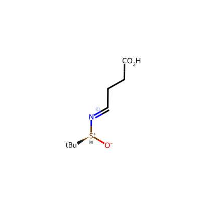 CC(C)(C)[S@+]([O-])/N=C/CCC(=O)O